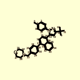 Cc1ccc(-n2nc(C(C)(C)C)cc2-c2ccc(-c3ccc(CN4CCOCC4)cc3)c3ccccc23)cc1